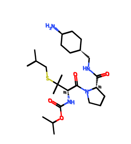 CC(C)CSC(C)(C)[C@@H](NC(=O)OC(C)C)C(=O)N1CCC[C@H]1C(=O)NC[C@H]1CC[C@H](N)CC1